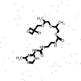 CCC1(COC(C)COC(C)COC(=O)NCCNC(=O)NC2=NC(C)N=CN2)COC1